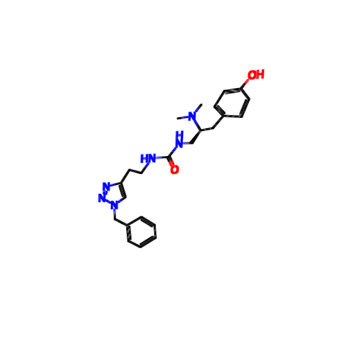 CN(C)[C@H](CNC(=O)NCCc1cn(Cc2ccccc2)nn1)Cc1ccc(O)cc1